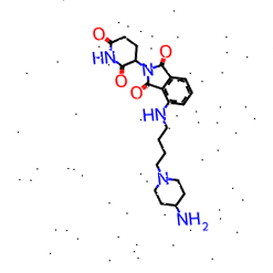 NC1CCN(CCCCNc2cccc3c2C(=O)N(C2CCC(=O)NC2=O)C3=O)CC1